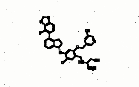 N#Cc1cncc(COc2cc(O[C@H]3CCc4c(-c5ccc6c(c5F)OCO6)cccc43)c(Cl)cc2CN[C@@H](CO)C(=O)O)c1